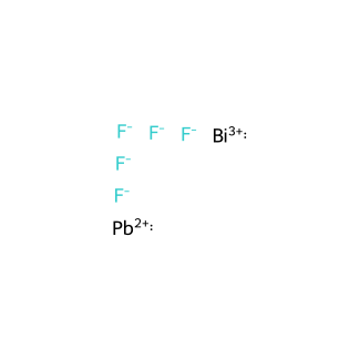 [Bi+3].[F-].[F-].[F-].[F-].[F-].[Pb+2]